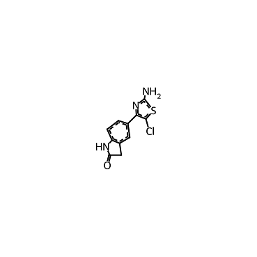 Nc1nc(-c2ccc3c(c2)CC(=O)N3)c(Cl)s1